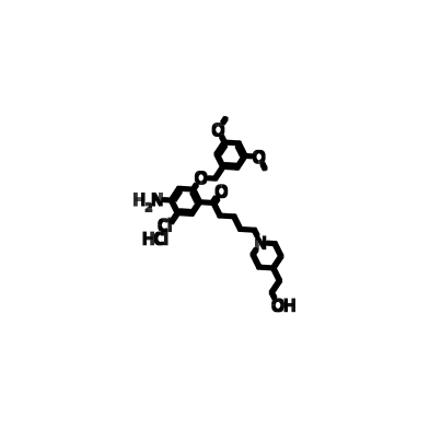 COc1cc(COc2cc(N)c(Cl)cc2C(=O)CCCCN2CCC(CCO)CC2)cc(OC)c1.Cl